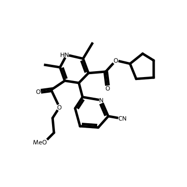 COCCOC(=O)C1=C(C)NC(C)=C(C(=O)OC2CCCC2)C1c1cccc(C#N)n1